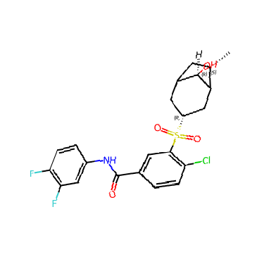 C[C@H]1CC2C[C@@H](S(=O)(=O)c3cc(C(=O)Nc4ccc(F)c(F)c4)ccc3Cl)CC1[C@@H]2O